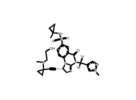 [2H]C([2H])(c1cnn(C)c1)N1C(=O)c2cc(S(=O)(=O)NC3(C)CC3)ccc2N2C1=NC[C@@H]2C#CC1(N(C)CCO)CC1